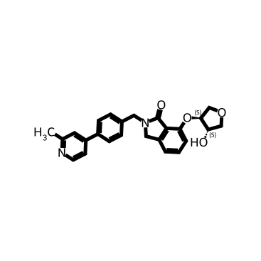 Cc1cc(-c2ccc(CN3Cc4cccc(O[C@H]5COC[C@@H]5O)c4C3=O)cc2)ccn1